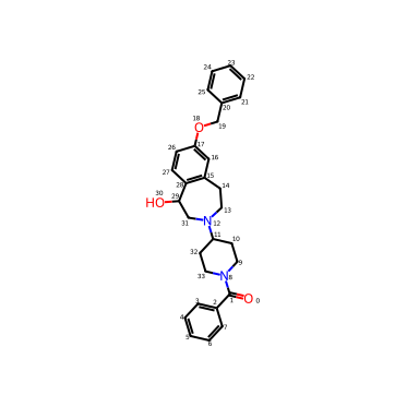 O=C(c1ccccc1)N1CCC(N2CCc3cc(OCc4ccccc4)ccc3C(O)C2)CC1